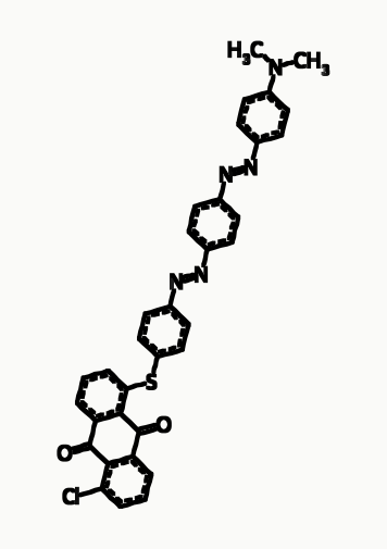 CN(C)c1ccc(N=Nc2ccc(N=Nc3ccc(Sc4cccc5c4C(=O)c4cccc(Cl)c4C5=O)cc3)cc2)cc1